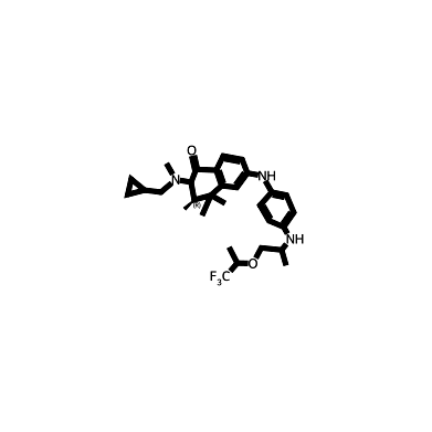 CC(COC(C)C(F)(F)F)Nc1ccc(Nc2ccc3c(c2)C(C)(C)[C@@H](C)C(N(C)CC2CC2)C3=O)cc1